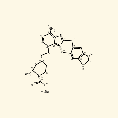 CC(C)[C@@H]1C[C@H](CCn2cnc(N)c3nc(Sc4cc5c(cc4Br)OCO5)nc2-3)CCN1C(=O)OC(C)(C)C